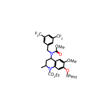 CCCCCOc1cc2c(cc1OC)C(N(Cc1cc(C(F)(F)F)cc(C(F)(F)F)c1)C(=O)OC)CC(C)N2C(=O)OCC